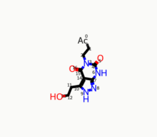 CC(=O)CCn1c(=O)[nH]c2n[nH]c(CCO)c2c1=O